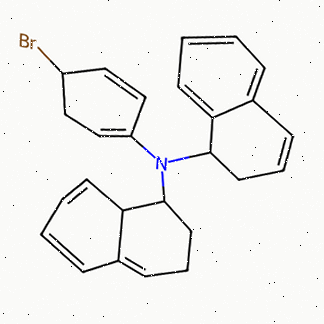 BrC1C=CC(N(C2CC=Cc3ccccc32)C2CCC=C3C=CC=CC32)=CC1